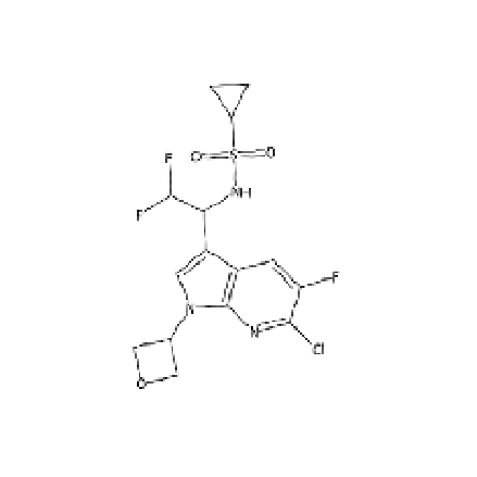 O=S(=O)(NC(c1cn(C2COC2)c2nc(Cl)c(F)cc12)C(F)F)C1CC1